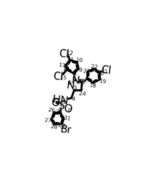 O=S(=O)(NCC1=NN(c2ccc(Cl)cc2Cl)[C@@H](c2ccc(Cl)cc2)C1)c1cccc(Br)c1